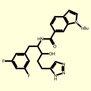 CCCCn1ccc2ccc(C(=O)NC(Cc3cc(F)cc(F)c3)C(O)CCc3cnn[nH]3)cc21